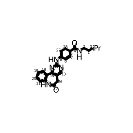 CC(C)CCNC(=O)C1C=CC(Nc2ncc3c(n2)-c2ccccc2NC(=O)C3)=CC1